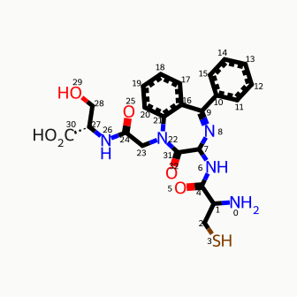 NC(CS)C(=O)NC1N=C(c2ccccc2)c2ccccc2N(CC(=O)N[C@@H](CO)C(=O)O)C1=O